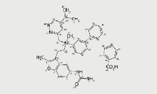 Cc1oc2ccc(NC(N)=O)cc2c1CC[N+](C)(Cc1cc(N(C)C)cnn1)c1cccc(-c2ccccc2)c1.O=C(O)c1ccccc1